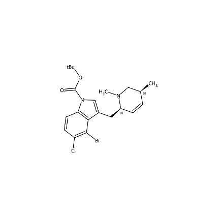 C[C@H]1C=C[C@@H](Cc2cn(C(=O)OC(C)(C)C)c3ccc(Cl)c(Br)c23)N(C)C1